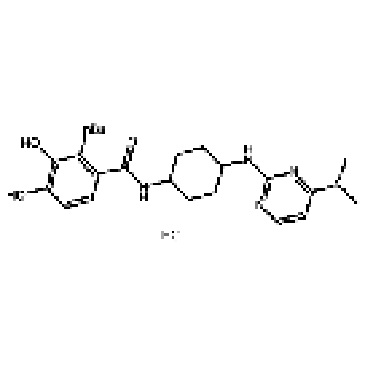 CCCCc1c(C(=O)NC2CCC(Nc3nccc(N(C)C)n3)CC2)ccc(O)c1O.Cl